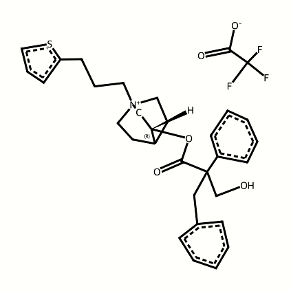 O=C(O[C@H]1C[N+]2(CCCc3cccs3)CCC1CC2)C(CO)(Cc1ccccc1)c1ccccc1.O=C([O-])C(F)(F)F